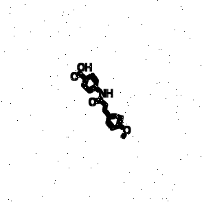 COc1ccc(CCC(=O)Nc2ccc(C(=O)O)cc2)cc1